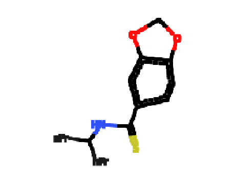 CCCC(CCC)NC(=S)c1ccc2c(c1)OCO2